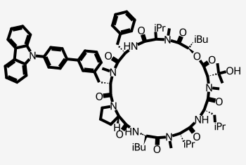 CC[C@H](C)[C@@H]1NC(=O)[C@@H]2CCCN2C(=O)[C@H](Cc2cccc(-c3ccc(-n4c5ccccc5c5ccccc54)cc3)c2)N(C)C(=O)[C@H](Cc2ccccc2)NC(=O)C(C(C)C)N(C)C(=O)[C@@H]([C@@H](C)CC)OC(=O)[C@H](C(C)(C)O)N(C)C(=O)[C@H](CC(C)C)NC(=O)[C@H](C(C)C)N(C)C1=O